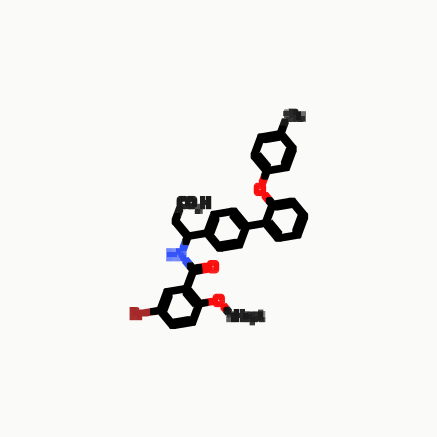 CCCCCCCOc1ccc(Br)cc1C(=O)NC(CC(=O)O)c1ccc(-c2ccccc2Oc2ccc(C(C)(C)C)cc2)cc1